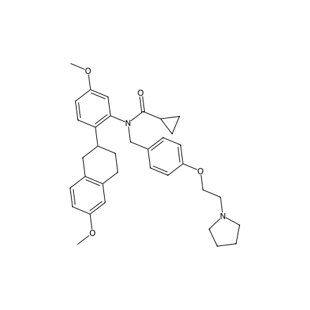 COc1ccc2c(c1)CCC(c1ccc(OC)cc1N(Cc1ccc(OCCN3CCCC3)cc1)C(=O)C1CC1)C2